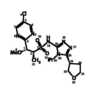 CO[C@H](c1ncc(Cl)cn1)[C@H](C)S(=O)(=O)Nc1nnc([C@H]2CCOC2)n1C(C)C